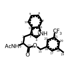 CC(=O)NC(Cc1c[nH]c2ccccc12)C(=O)OCc1cc(C)cc(C(F)(F)F)c1